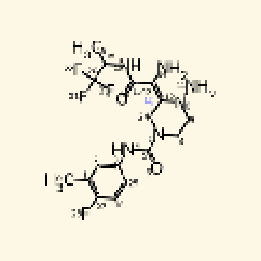 Cc1cc(NC(=O)N2CCN(N)/C(=C(\N)C(=O)NC(C)C(F)(F)F)C2)ccc1F